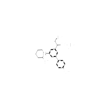 CCOC(=O)C(CC(C)C)c1cc(-c2ccc(C(F)(F)F)cc2)cc(N2CCCCC2CC)c1